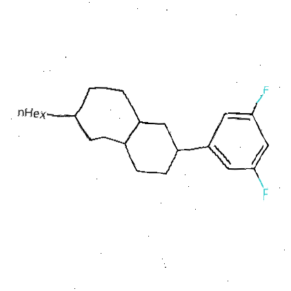 CCCCCCC1CCC2CC(c3cc(F)cc(F)c3)CCC2C1